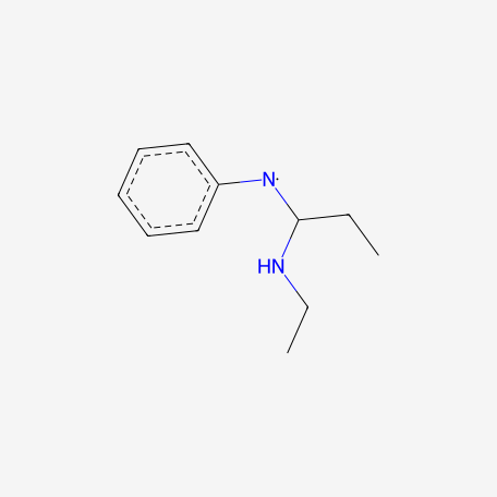 CCNC(CC)[N]c1ccccc1